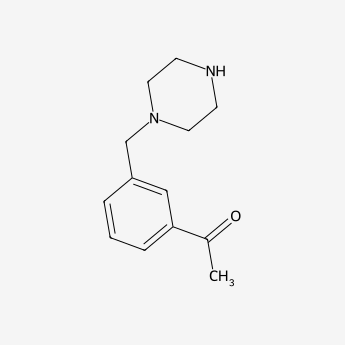 CC(=O)c1cccc(CN2CCNCC2)c1